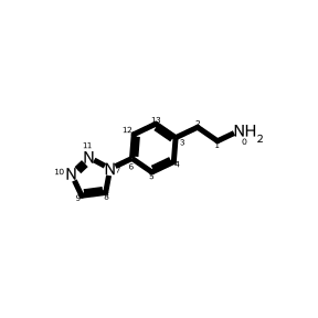 NCCc1ccc(-n2ccnn2)cc1